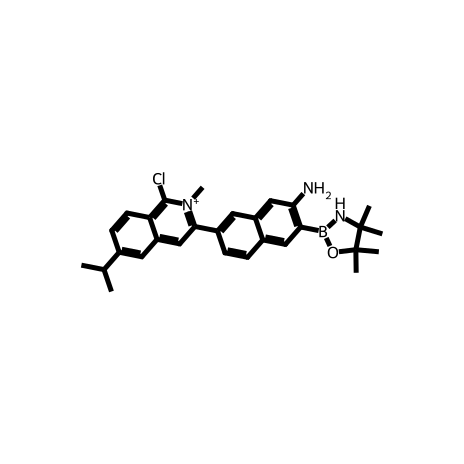 CC(C)c1ccc2c(Cl)[n+](C)c(-c3ccc4cc(B5NC(C)(C)C(C)(C)O5)c(N)cc4c3)cc2c1